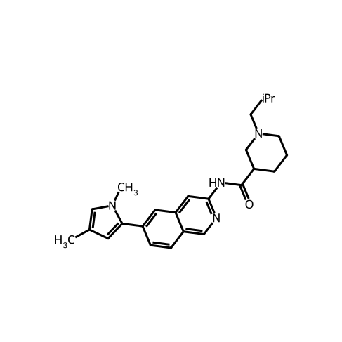 Cc1cc(-c2ccc3cnc(NC(=O)C4CCCN(CC(C)C)C4)cc3c2)n(C)c1